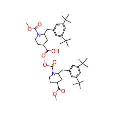 COC(=O)C1CCN(C(=O)OC)C(Cc2cc(C(C)(C)C)cc(C(C)(C)C)c2)C1.COC(=O)N1CCC(C(=O)O)CC1Cc1cc(C(C)(C)C)cc(C(C)(C)C)c1